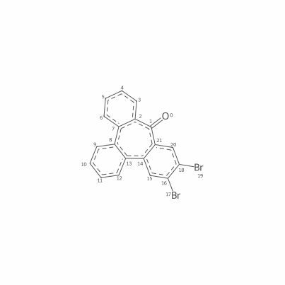 O=c1c2ccccc2c2ccccc2c2cc(Br)c(Br)cc12